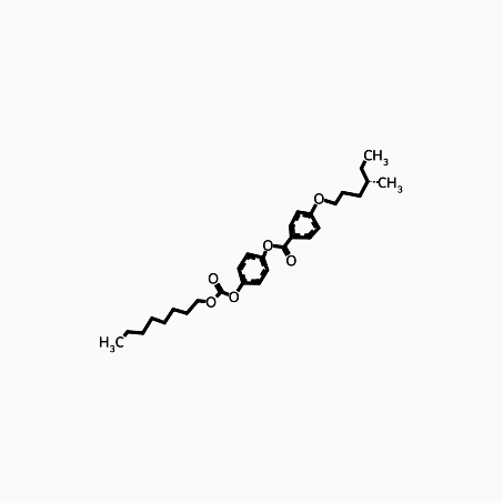 CCCCCCCCOC(=O)Oc1ccc(OC(=O)c2ccc(OCCC[C@@H](C)CC)cc2)cc1